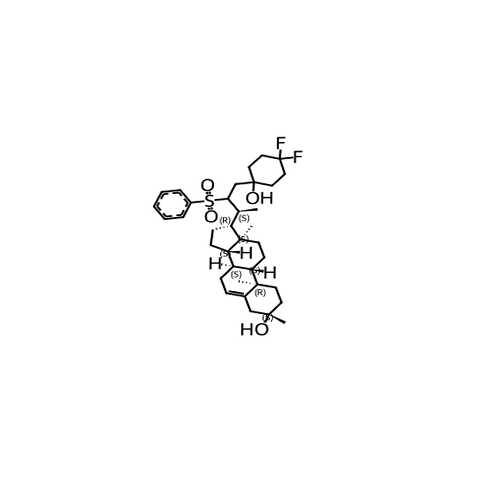 C[C@H](C(CC1(O)CCC(F)(F)CC1)S(=O)(=O)c1ccccc1)[C@H]1CC[C@H]2[C@@H]3CC=C4C[C@@](C)(O)CC[C@]4(C)[C@H]3CC[C@]12C